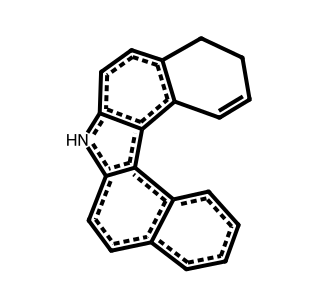 C1=Cc2c(ccc3[nH]c4ccc5ccccc5c4c23)CC1